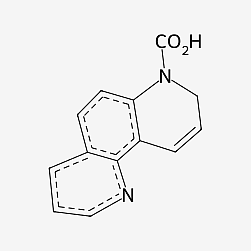 O=C(O)N1CC=Cc2c1ccc1cccnc21